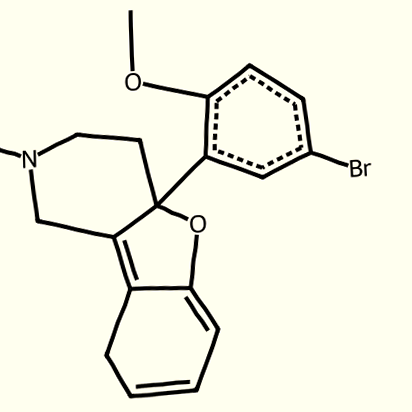 COc1ccc(Br)cc1C12CCN(C)CC1=C1CC=CC=C1O2